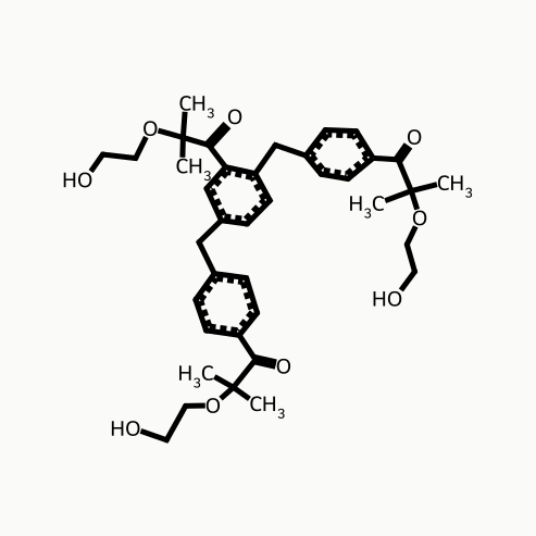 CC(C)(OCCO)C(=O)c1ccc(Cc2ccc(Cc3ccc(C(=O)C(C)(C)OCCO)cc3)c(C(=O)C(C)(C)OCCO)c2)cc1